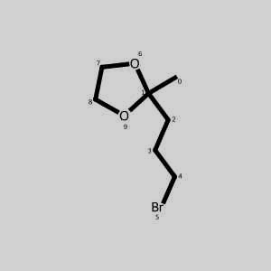 CC1(CCCBr)OCCO1